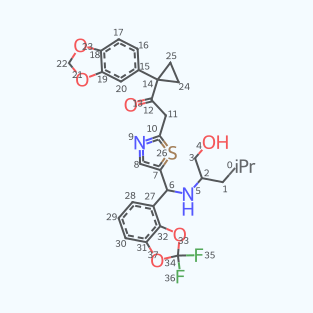 CC(C)CC(CO)NC(c1cnc(CC(=O)C2(c3ccc4c(c3)OCO4)CC2)s1)c1cccc2c1OC(F)(F)O2